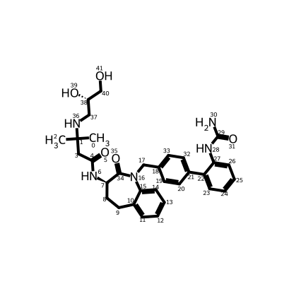 CC(C)(CC(=O)N[C@@H]1CCc2ccccc2N(Cc2ccc(-c3ccccc3NC(N)=O)cc2)C1=O)NC[C@H](O)CO